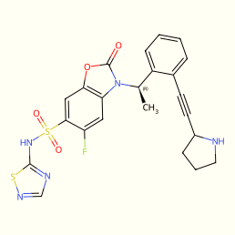 C[C@H](c1ccccc1C#CC1CCCN1)n1c(=O)oc2cc(S(=O)(=O)Nc3ncns3)c(F)cc21